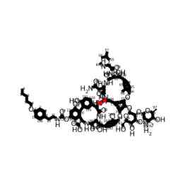 CCCCCOc1ccc(CCNC(=O)Oc2cc(O)c3c(c2)[C@@H](C(=O)O)NC(=O)[C@H]2NC(=O)[C@H](NC(=O)[C@@H]4NC(=O)[C@H](CC(N)=O)NC(=O)[C@H](NC(=O)[C@@H](CC(C)C)NC)[C@H](O)c5ccc(c(C)c5)Oc5cc4cc(c5O[C@@H]4O[C@H](CO)[C@@H](O)[C@H](O)[C@H]4O[C@H]4C[C@](C)(N)[C@H](O)[C@H](C)O4)Oc4ccc(cc4Cl)[C@H]2O)c2ccc(O)c-3c2)cc1